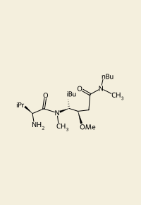 CCCCN(C)C(=O)C[C@@H](OC)[C@H]([C@@H](C)CC)N(C)C(=O)[C@@H](N)C(C)C